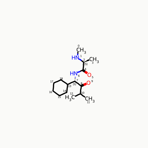 CN[C@@H](C)C(=O)N[C@H](C(=O)C(C)C)C1CCCCC1